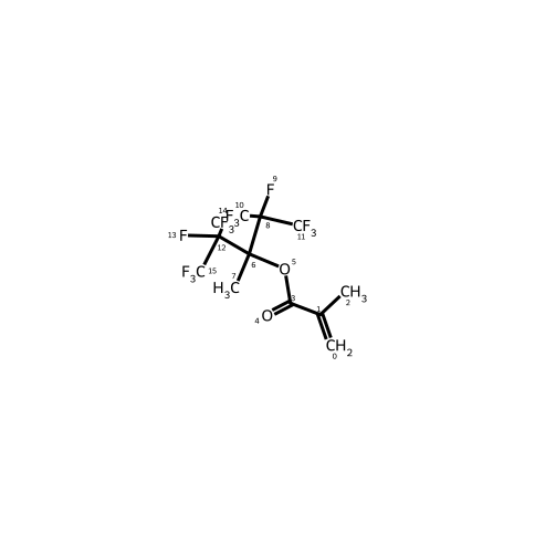 C=C(C)C(=O)OC(C)(C(F)(C(F)(F)F)C(F)(F)F)C(F)(C(F)(F)F)C(F)(F)F